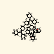 c1ccc(N(c2ccccc2)c2cccc(C3(c4cccc(N(c5ccccc5)c5ccccc5)c4)c4cc(N(c5ccccc5)c5ccccc5)ccc4-c4ccc(N(c5ccccc5)c5ccccc5)cc43)c2)cc1